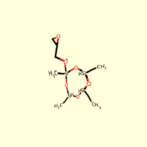 C[SiH]1O[SiH](C)O[Si](C)(OCC2CO2)O[SiH](C)O1